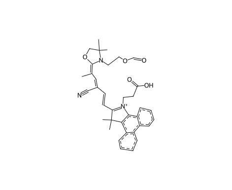 CC(/C=C(C#N)/C=C/C1=[N+](CCC(=O)O)c2c(c3ccccc3c3ccccc23)C1(C)C)=C1\OCC(C)(C)N1CCOC=O